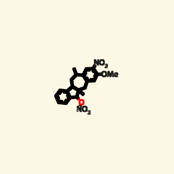 COc1cc2c(cc1[N+](=O)[O-])C(C)CC1c3ccccc3C(O[N+](=O)[O-])C1(C)C2